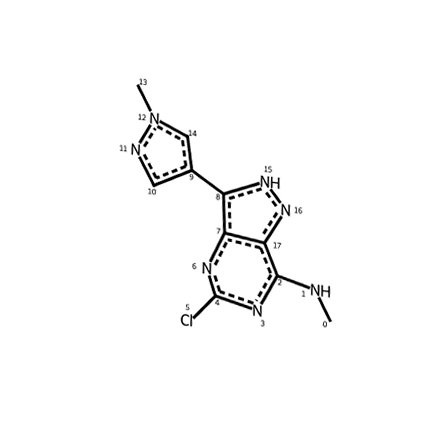 CNc1nc(Cl)nc2c(-c3cnn(C)c3)[nH]nc12